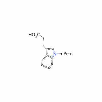 CCCCCn1cc(CCC(=O)O)c2ccccc21